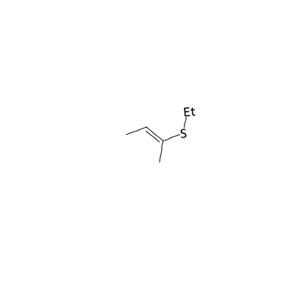 CC=C(C)SCC